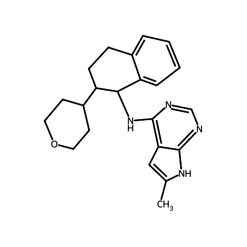 Cc1cc2c(NC3c4ccccc4CCC3C3CCOCC3)ncnc2[nH]1